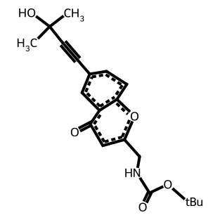 CC(C)(O)C#Cc1ccc2oc(CNC(=O)OC(C)(C)C)cc(=O)c2c1